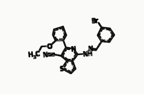 CCOc1ccccc1-c1nc(NN=Cc2cccc(Br)c2)c2ccsc2c1C#N